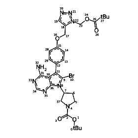 CC(C)(C)OC(=O)N1CCC(n2c(Br)c(-c3ccc(OCc4cnnn4COC(=O)C(C)(C)C)cc3)c3c(N)ncnc32)C1